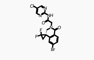 O=C(CN1C[C@@]2(CC2(F)F)c2cc(Br)ccc2C1=O)Nc1ncc(Cl)cn1